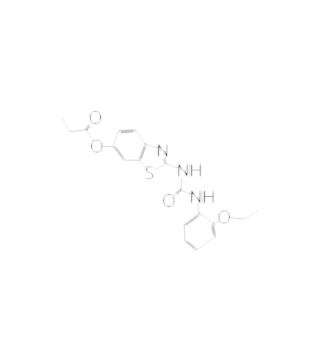 CCOc1ccccc1NC(=O)Nc1nc2ccc(OC(=O)CC)cc2s1